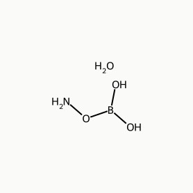 NOB(O)O.O